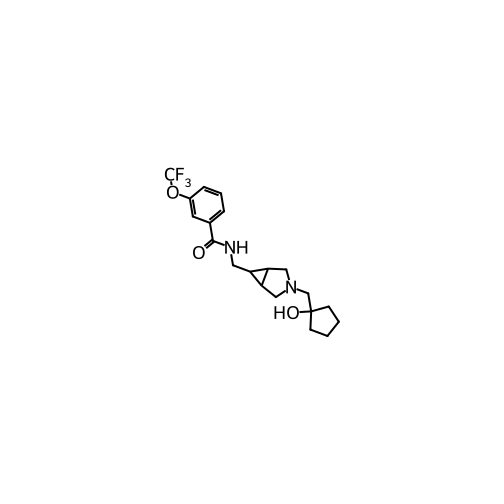 O=C(NCC1C2CN(CC3(O)CCCC3)CC12)c1cccc(OC(F)(F)F)c1